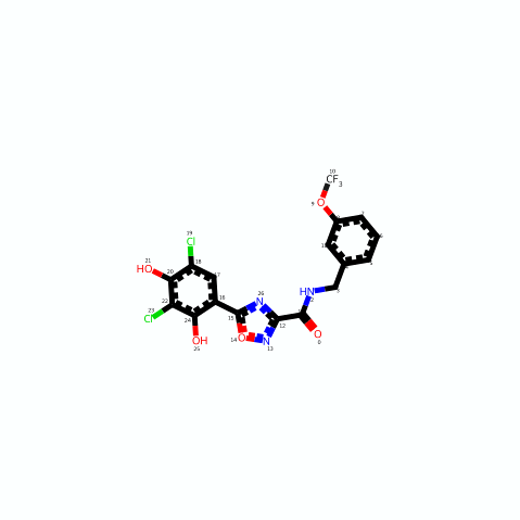 O=C(NCc1cccc(OC(F)(F)F)c1)c1noc(-c2cc(Cl)c(O)c(Cl)c2O)n1